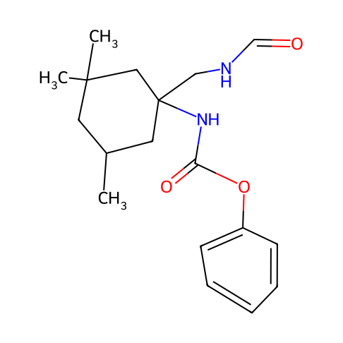 CC1CC(C)(C)CC(CNC=O)(NC(=O)Oc2ccccc2)C1